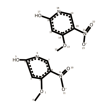 COc1cc(O)ncc1[N+](=O)[O-].COc1cc(O)ncc1[N+](=O)[O-]